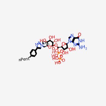 CCCCCc1ccc(C2=C[N+](C)(C[C@@H]3O[C@](O)(OC(OP(=O)(O)OP(=O)(O)O)[C@H]4O[C@@H](n5cnc6c(=O)[nH]c(N)nc65)[C@H](O)[C@@H]4O)[C@@H](O)[C@H](O)[C@@H]3O)N=N2)cc1